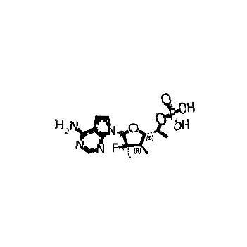 CC(OP(=O)(O)O)[C@H]1O[C@@H](n2ccc3c(N)ncnc32)[C@](C)(F)[C@@H]1C